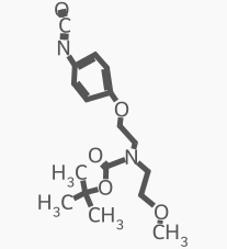 COCCN(CCOc1ccc(N=C=O)cc1)C(=O)OC(C)(C)C